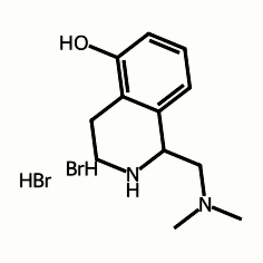 Br.Br.CN(C)CC1NCCc2c(O)cccc21